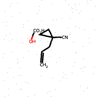 C=CCC1(C#N)CC1.O=C(O)O